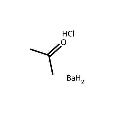 CC(C)=O.Cl.[BaH2]